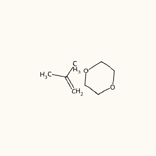 C1COCCO1.C=C(C)C